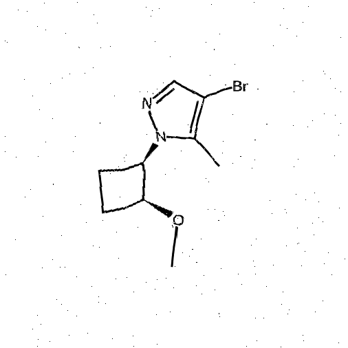 CO[C@H]1CC[C@H]1n1ncc(Br)c1C